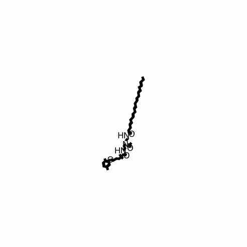 CCC=CCC=CCC=CCC=CCC=CCC=CCCC(=O)NCCN(CCNC(=O)C(C)(C)CCCOc1cc(C)ccc1C)C(C)=O